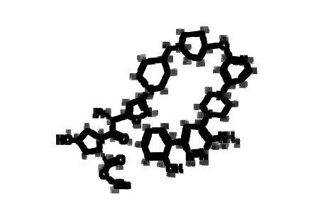 CC(C)[C@@H](C(=O)N1C[C@H](O)C[C@H]1C(=O)OC(C)(C)C)c1cc(N2CCC(CN3CCC(Oc4cc(N5CCN(c6cc(-c7ccccc7O)nnc6N)CC5)ccn4)CC3)CC2)no1